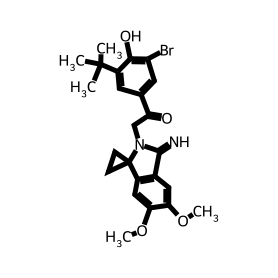 COc1cc2c(cc1OC)C1(CC1)N(CC(=O)c1cc(Br)c(O)c(C(C)(C)C)c1)C2=N